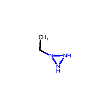 CCn1[nH][nH]1